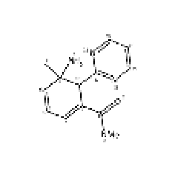 CNC(=O)C1=CC=CC(C)(N)C1c1ncccn1